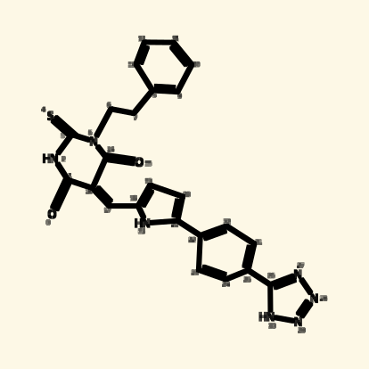 O=C1NC(=S)N(CCc2ccccc2)C(=O)/C1=C\c1ccc(-c2ccc(-c3nnn[nH]3)cc2)[nH]1